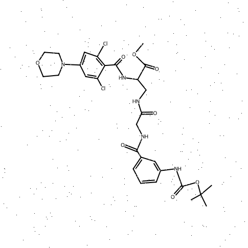 COC(=O)C(CNC(=O)CNC(=O)c1cccc(NC(=O)OC(C)(C)C)c1)NC(=O)c1c(Cl)cc(N2CCOCC2)cc1Cl